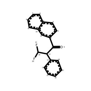 O=C(c1ccc2ccccc2c1)C(c1ccccc1)C(F)F